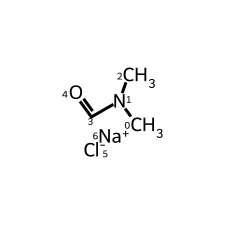 CN(C)C=O.[Cl-].[Na+]